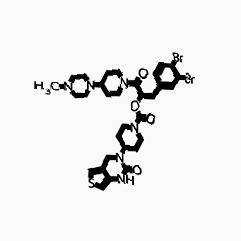 CN1CCN(C2CCN(C(=O)C(Cc3ccc(Br)c(Br)c3)OC(=O)N3CCC(N4Cc5cscc5NC4=O)CC3)CC2)CC1